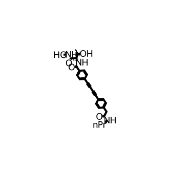 CCCNC(=O)Cc1ccc(C#CC#Cc2ccc(C(=O)N[C@H](C(=O)NO)[C@@H](C)O)cc2)cc1